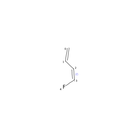 [CH]=C/C=[C]\F